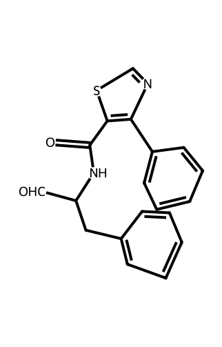 O=CC(Cc1ccccc1)NC(=O)c1scnc1-c1ccccc1